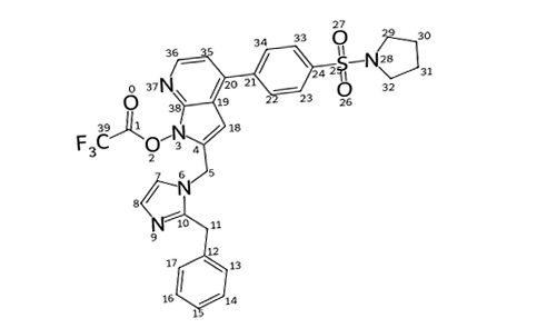 O=C(On1c(Cn2ccnc2Cc2ccccc2)cc2c(-c3ccc(S(=O)(=O)N4CCCC4)cc3)ccnc21)C(F)(F)F